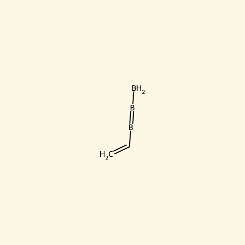 BB=BC=C